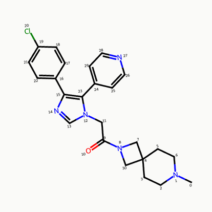 CN1CCC2(CC1)CN(C(=O)Cn1cnc(-c3ccc(Cl)cc3)c1-c1ccncc1)C2